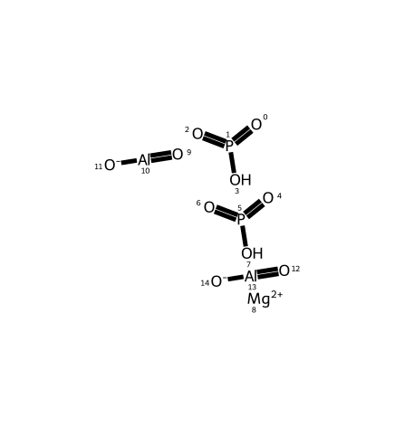 O=P(=O)O.O=P(=O)O.[Mg+2].[O]=[Al][O-].[O]=[Al][O-]